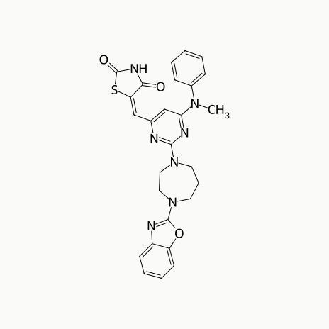 CN(c1ccccc1)c1cc(C=C2SC(=O)NC2=O)nc(N2CCCN(c3nc4ccccc4o3)CC2)n1